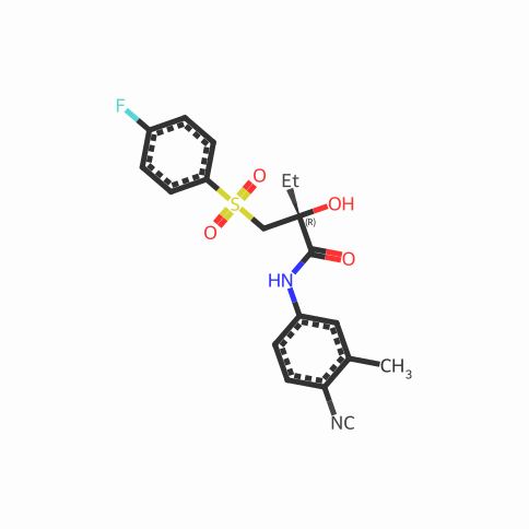 [C-]#[N+]c1ccc(NC(=O)[C@](O)(CC)CS(=O)(=O)c2ccc(F)cc2)cc1C